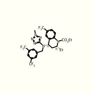 CCOC(=O)N1c2ccc(C(F)(F)F)cc2[C@@H](N(Cc2cc(C(F)(F)F)cc(C(F)(F)F)c2)c2nnn(C)n2)C[C@H]1CC